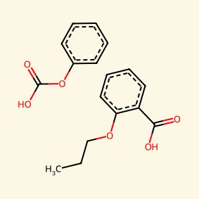 CCCOc1ccccc1C(=O)O.O=C(O)Oc1ccccc1